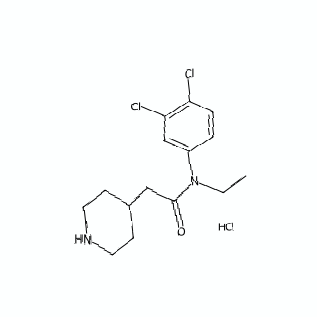 CCN(C(=O)CC1CCNCC1)c1ccc(Cl)c(Cl)c1.Cl